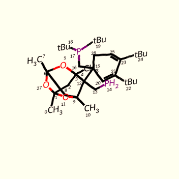 CC12CC3(C)OC(C)(CC(C)(O1)C3(CP)C1(CP(C(C)(C)C)C(C)(C)C)C=C(C(C)(C)C)C(C(C)(C)C)=CC1)O2